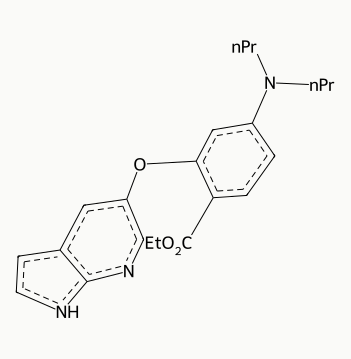 CCCN(CCC)c1ccc(C(=O)OCC)c(Oc2cnc3[nH]ccc3c2)c1